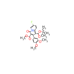 COC(=O)c1c(-c2ccc(OC)c(OC)c2)c(C(=O)OC(C)(C)C)c2ccc(F)cn2c1=O